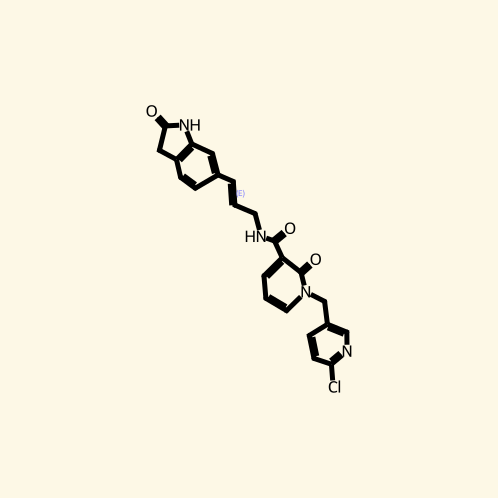 O=C1Cc2ccc(/C=C/CNC(=O)c3cccn(Cc4ccc(Cl)nc4)c3=O)cc2N1